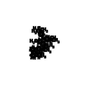 Cc1cc2c3c(c1)N(c1ccc([Si](c4ccccc4)(c4ccccc4)c4ccccc4)cc1C(C)(C)C)c1ccccc1B3c1cc(C(C)(C)C)ccc1N2c1ccc(C(C)(C)C)cc1